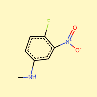 CNc1ccc(F)c([N+](=O)[O-])c1